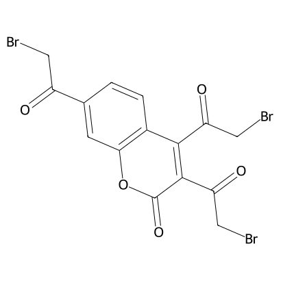 O=C(CBr)c1ccc2c(C(=O)CBr)c(C(=O)CBr)c(=O)oc2c1